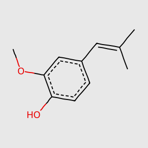 COc1cc(C=C(C)C)ccc1O